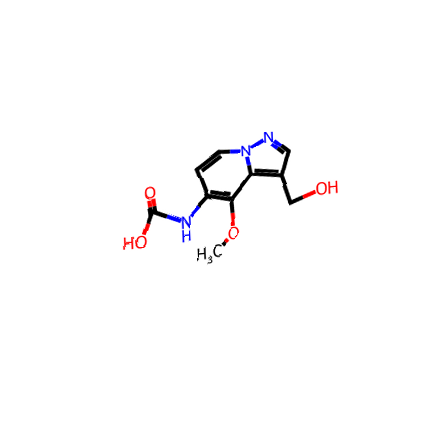 COc1c(NC(=O)O)ccn2ncc(CO)c12